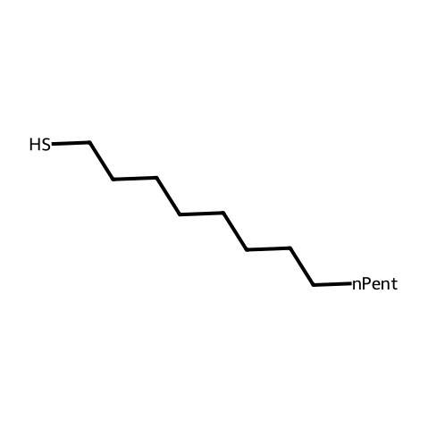 [CH2]CCCCCCCCCCCCS